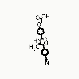 C[C@@H](NC(=O)c1ccc(OCC(=O)O)cc1)C(=O)c1ccc(C#N)cc1